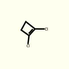 ClC1=C(Cl)CC1